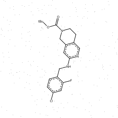 CC(C)(C)OC(=O)N1CCc2cnc(NCc3ccc(Cl)cc3F)cc2C1